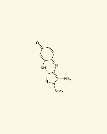 CCCCCCn1ncc(/N=C2/C=CC(=O)C=C2N)c1N